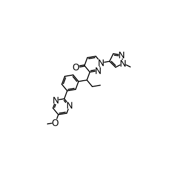 CCC(c1cccc(-c2ncc(OC)cn2)c1)c1nn(-c2cnn(C)c2)ccc1=O